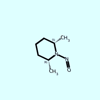 C[C@@H]1CCC[C@H](C)N1N=O